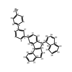 Brc1ccc(-c2cccc(-c3ccc4c(c3)c3c5ccccc5ccc3n4-c3cccc4ccccc34)c2)cc1